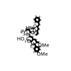 C=CCCC(Cc1ccccc1)OC(=O)NC(CC(C)C)C(=O)NC(CC(CC=C)C(=O)N(C)Cc1ccc(OC)cc1OC)C(=O)O